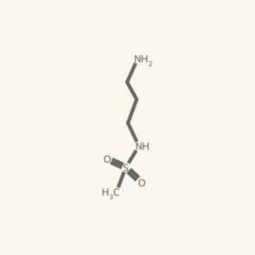 CS(=O)(=O)NCCCN